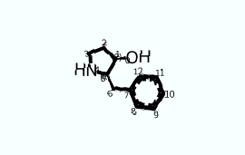 O[C@@H]1CCN[C@@H]1Cc1ccccc1